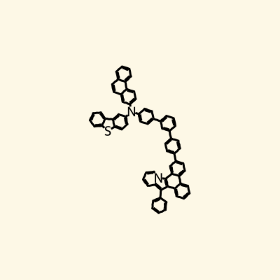 c1ccc(-c2c3c4ccccc4c4ccc(-c5ccc(-c6cccc(-c7ccc(N(c8ccc9c(ccc%10ccccc%109)c8)c8ccc9sc%10ccccc%10c9c8)cc7)c6)cc5)cc4c3n3ccccc23)cc1